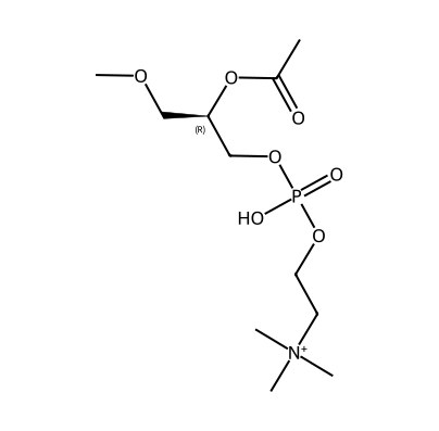 COC[C@H](COP(=O)(O)OCC[N+](C)(C)C)OC(C)=O